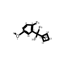 COc1ccc(F)c(C(F)(F)C23CC(C2)C3)c1